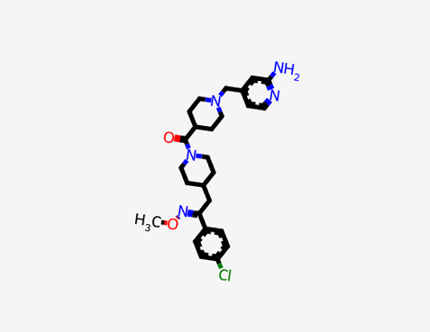 CON=C(CC1CCN(C(=O)C2CCN(Cc3ccnc(N)c3)CC2)CC1)c1ccc(Cl)cc1